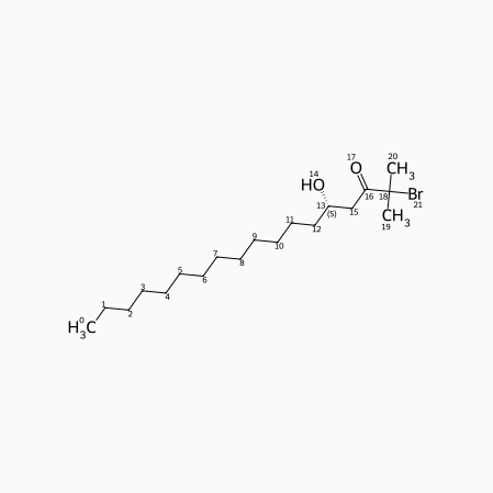 CCCCCCCCCCCCC[C@H](O)CC(=O)C(C)(C)Br